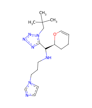 CC(C)(C)Cn1nnnc1C(NCCCn1ccnc1)[C@@H]1CCC=CO1